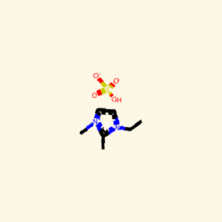 CCn1cc[n+](C)c1C.O=S(=O)([O-])O